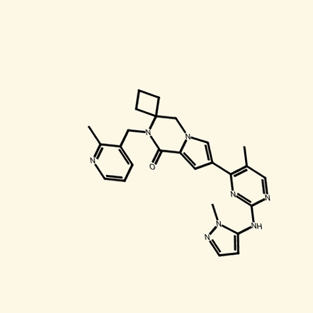 Cc1cnc(Nc2ccnn2C)nc1-c1cc2n(c1)CC1(CCC1)N(Cc1cccnc1C)C2=O